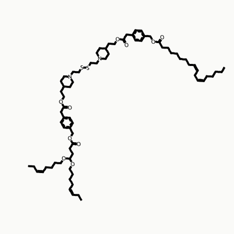 CC/C=C\CCCCOC(CCC(=O)OCc1ccc(CC(=O)OCCC2CCN(CCSSCCN3CCC(CCOC(=O)Cc4ccc(COC(=O)CCCCCCC/C=C\C/C=C\CCCCC)cc4)CC3)CC2)cc1)OCCCC/C=C\CC